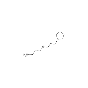 NCCCOCCCN1CCCC1